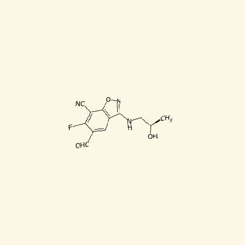 C[C@@H](O)CNc1noc2c(C#N)c(F)c(C=O)cc12